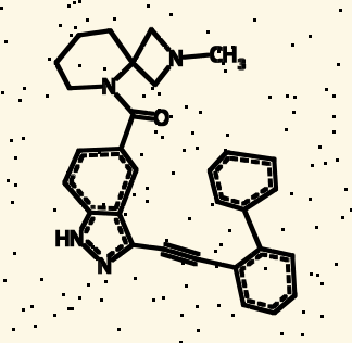 CN1CC2(CCCCN2C(=O)c2ccc3[nH]nc(C#Cc4ccccc4-c4ccccc4)c3c2)C1